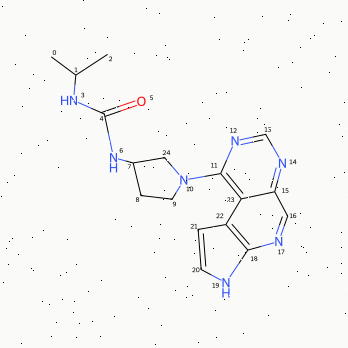 CC(C)NC(=O)NC1CCN(c2ncnc3cnc4[nH]ccc4c23)C1